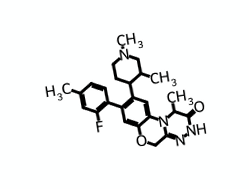 Cc1ccc(-c2cc3c(cc2C2CCN(C)CC2C)N2C(=NNC(=O)C2C)CO3)c(F)c1